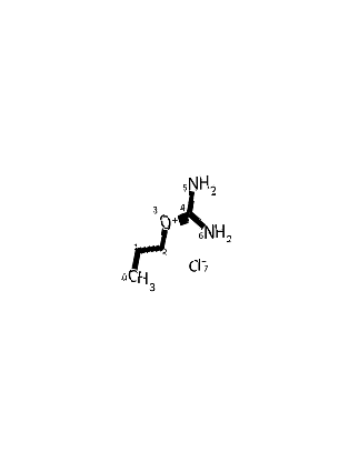 CCC[O+]=C(N)N.[Cl-]